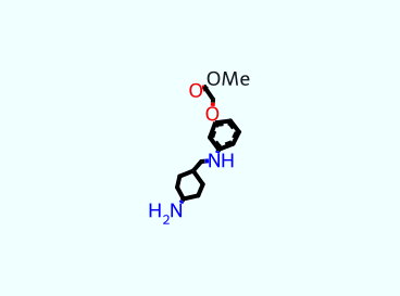 COC(=O)COc1cccc(NCC2CCC(N)CC2)c1